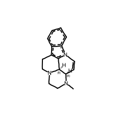 CN1CCN2CCc3c4n(c5ccccc35)C=C[C@@H]1[C@H]42